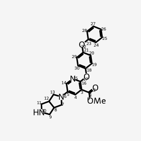 COC(=O)c1cc(N2CC3CNCC3C2)cnc1Oc1ccc(Oc2ccccc2)cc1